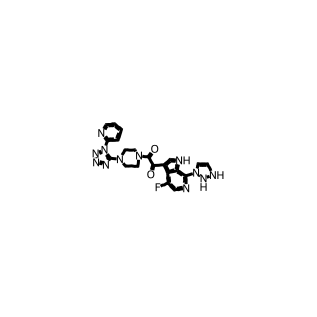 O=C(C(=O)N1CCN(c2nnnn2-c2ccccn2)CC1)c1c[nH]c2c(N3C=CNN3)ncc(F)c12